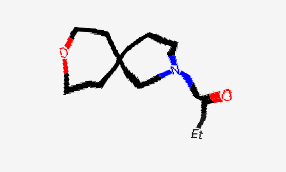 CCC(=O)N1CCC2(CCOCC2)C1